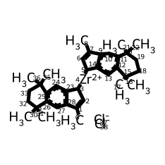 CC1=C[CH]([Zr+2][CH]2C=C(C)c3cc4c(cc32)C(C)(C)CCC4(C)C)c2cc3c(cc21)C(C)(C)CCC3(C)C.[Cl-].[Cl-]